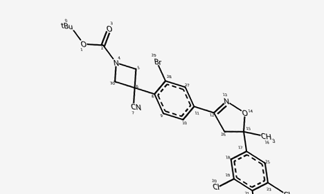 CC(C)(C)OC(=O)N1CC(C#N)(c2ccc(C3=NOC(C)(c4cc(Cl)c(Cl)c(Cl)c4)C3)cc2Br)C1